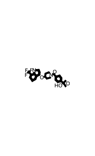 O=C(c1ccc(C2(O)COC2)cc1)N1CCC(Oc2ccnc3c(C(F)(F)F)cccc23)CC1